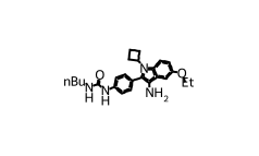 CCCCNC(=O)Nc1ccc(-c2c(N)c3cc(OCC)ccc3n2C2CCC2)cc1